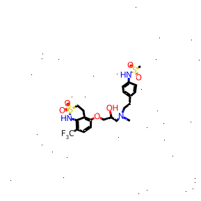 CN(CCc1ccc(NS(C)(=O)=O)cc1)CC(O)COc1ccc(C(F)(F)F)c2c1CCS(=O)(=O)N2